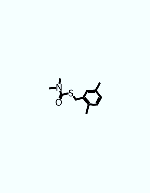 Cc1ccc(C)c(CSC(=O)N(C)C)c1